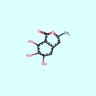 Cc1cc2cc(O)c(O)c(O)c2c(=O)o1